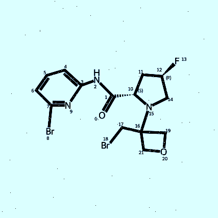 O=C(Nc1cccc(Br)n1)[C@@H]1C[C@@H](F)CN1C1(CBr)COC1